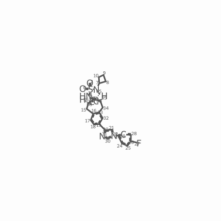 O=S1(=O)N[C@@]2(CN1C1CCC1)[C@@H]1CC[C@H]2Cc2ccc(-c3cn(-c4ccc(F)cc4)cn3)cc2C1